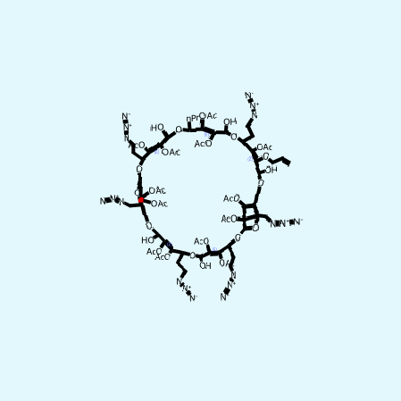 C=CCO/C1=C(\OC(C)=O)C(CCN=[N+]=[N-])OC(O)/C(OC(C)=O)=C(\OC(C)=O)C(CCC)OC(O)/C(OC(C)=O)=C(\OC(C)=O)C(CCN=[N+]=[N-])OC2OC(CN=[N+]=[N-])C(OC(O)/C(OC(C)=O)=C(/OC(C)=O)C(CCN=[N+]=[N-])OC(O)/C(OC(C)=O)=C(\OC(C)=O)C(CCN=[N+]=[N-])OC3OC4(CN=[N+]=[N-])C(OC1O)C(OC(C)=O)C34OC(C)=O)C(OC(C)=O)C2OC(C)=O